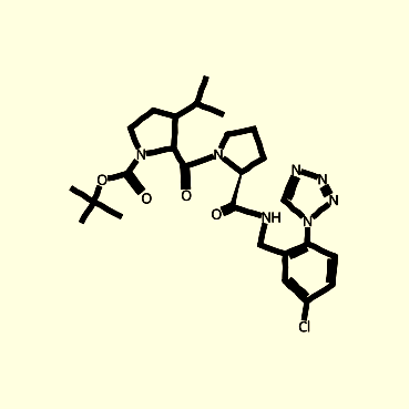 CC(C)C1CCN(C(=O)OC(C)(C)C)C1C(=O)N1CCC[C@H]1C(=O)NCc1cc(Cl)ccc1-n1cnnn1